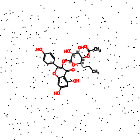 CCC[C@@H]1O[C@@H](Oc2c(-c3ccc(O)cc3)oc3cc(O)cc(O)c3c2=O)[C@H](O)[C@H](O)[C@H]1OC(C)=O